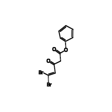 O=C(C=C(Br)Br)CC(=O)Oc1ccccc1